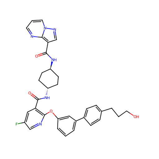 O=C(N[C@H]1CC[C@H](NC(=O)c2cnn3cccnc23)CC1)c1cc(F)cnc1Oc1cccc(-c2ccc(CCCO)cc2)c1